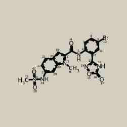 Cn1c(C(=O)Nc2ccc(Br)cc2-c2noc(=O)[nH]2)cc2ccc(NS(C)(=O)=O)cc21